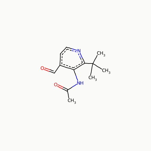 CC(=O)Nc1c(C=O)ccnc1C(C)(C)C